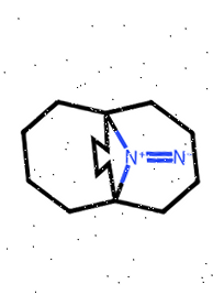 [N-]=[N+]1C23CCCCC1(CCCC2)CCCC3